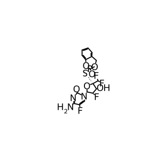 Nc1nc(=O)n([C@@H]2O[C@@](COP3(=S)OCc4ccccc4O3)(C(F)F)[C@H](O)[C@H]2F)cc1F